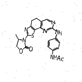 CC(=O)Nc1ccc(Nc2ncc3c(n2)-c2sc(N4C(=O)OCC4C)nc2CC3)cc1